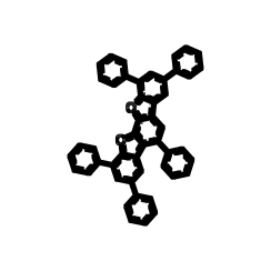 c1ccc(-c2cc(-c3ccccc3)c3oc4c(cc(-c5ccccc5)c5c6cc(-c7ccccc7)cc(-c7ccccc7)c6oc45)c3c2)cc1